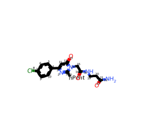 CCCCCc1nc(-c2ccc(Cl)cc2)cc(=O)n1CC(=O)NCCC(N)=O